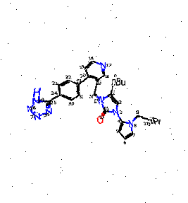 CCCCc1cn(-c2cccn2CC(C)C)c(=O)n1Cc1cnccc1-c1ccc(-c2nnn[nH]2)cc1